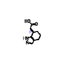 O=C(O)/C=C1\CCCc2cn[nH]c21